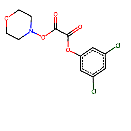 O=C(Oc1cc(Cl)cc(Cl)c1)C(=O)ON1CCOCC1